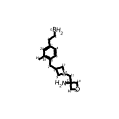 BCCc1ccc(CC2CN(CC3(N)COC3)C2)c(C)c1